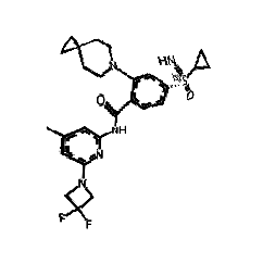 Cc1cc(NC(=O)c2ccc([S@@](=N)(=O)C3CC3)cc2N2CCC3(CC2)CC3)nc(N2CC(F)(F)C2)c1